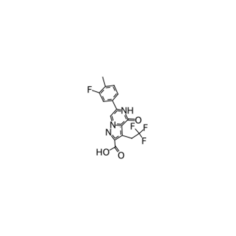 Cc1ccc(-c2cn3nc(C(=O)O)c(CC(F)(F)F)c3c(=O)[nH]2)cc1F